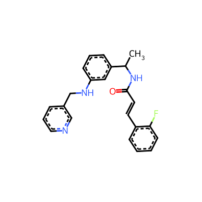 CC(NC(=O)C=Cc1ccccc1F)c1cccc(NCc2cccnc2)c1